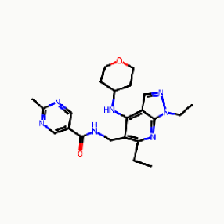 CCc1nc2c(cnn2CC)c(NC2CCOCC2)c1CNC(=O)c1cnc(C)nc1